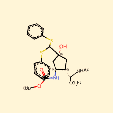 CCOC(=O)C(NC(C)=O)[C@H]1C[C@](O)(C(Sc2ccccc2)Sc2ccccc2)C[C@@H]1NC(=O)OC(C)(C)C